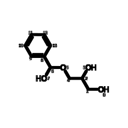 OCC(O)COC(O)c1ccccc1